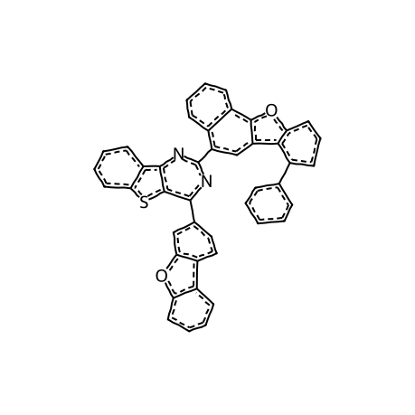 c1ccc(-c2cccc3oc4c5ccccc5c(-c5nc(-c6ccc7c(c6)oc6ccccc67)c6sc7ccccc7c6n5)cc4c23)cc1